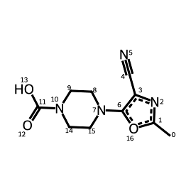 Cc1nc(C#N)c(N2CCN(C(=O)O)CC2)o1